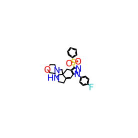 O=S(=O)(c1ccccc1)c1nn(-c2ccc(F)cc2)c2c1CC1(CN3CCOCC3)CNCCC1=C2